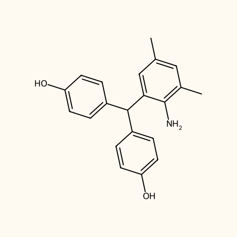 Cc1cc(C)c(N)c(C(c2ccc(O)cc2)c2ccc(O)cc2)c1